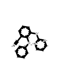 N#Cc1cc[c]c(Oc2ncccn2)c1Oc1ccccc1